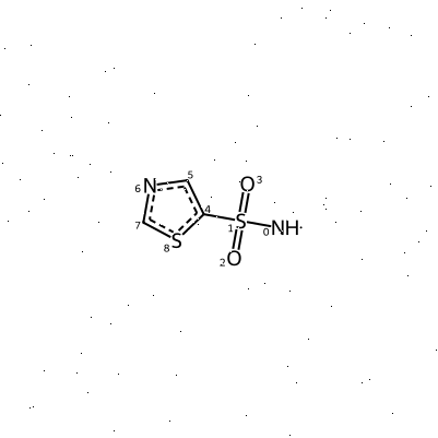 [NH]S(=O)(=O)c1cncs1